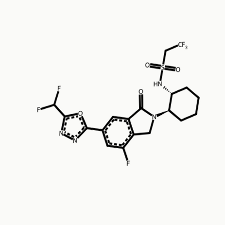 O=C1c2cc(-c3nnc(C(F)F)o3)cc(F)c2CN1[C@@H]1CCCC[C@H]1NS(=O)(=O)CC(F)(F)F